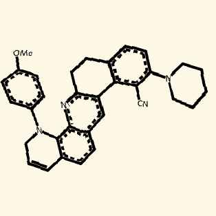 COc1ccc(N2CC=Cc3ccc4cc5c(nc4c32)CCc2ccc(N3CCCCC3)c(C#N)c2-5)cc1